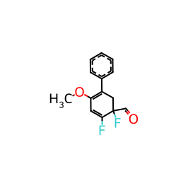 COC1=C(c2ccccc2)CC(F)(C=O)C(F)=C1